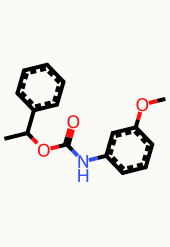 COc1cccc(NC(=O)OC(C)c2ccccc2)c1